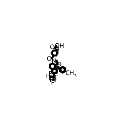 Cc1ccc(S(=O)(=O)C23CCN(C(=O)C4CCC(I)(C(=O)O)CC4)C2CCc2cc(C(F)(C(F)(F)F)C(F)(F)F)ccc23)cc1